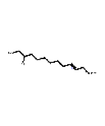 CCCCCCCC/C=C/CCCCCCC(Cl)CO